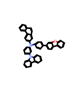 c1cc(N(c2ccc(-c3ccc4c(c3)oc3ccccc34)cc2)c2ccc3c(ccc4ccccc43)c2)cc(-n2c3ccccc3c3ccccc32)c1